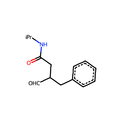 CC(C)NC(=O)CC(C=O)Cc1ccccc1